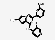 COc1cccc(-c2nc(Nc3ccncc3F)c3cc([N+](=O)[O-])cn3n2)n1